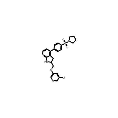 O=S(=O)(c1ccc(-c2ccnc3c2CC(COc2cncc(Cl)c2)N3)cc1)N1CCCC1